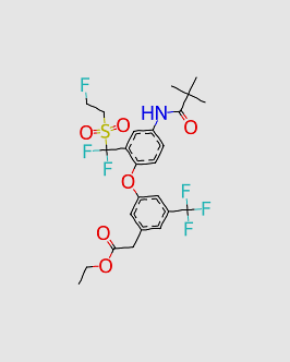 CCOC(=O)Cc1cc(Oc2ccc(NC(=O)C(C)(C)C)cc2C(F)(F)S(=O)(=O)CCF)cc(C(F)(F)F)c1